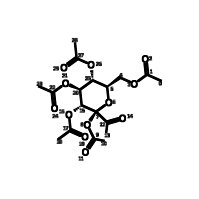 CC(=O)OC[C@H]1O[C@](OC(C)=O)(C(C)=O)[C@H](OC(C)=O)[C@@H](OC(C)=O)[C@@H]1OC(C)=O